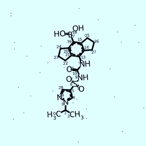 CC(C)n1cc(S(=O)(=O)NC(=O)Nc2c3c(c(B(O)O)c4c2CCC4)CCC3)cn1